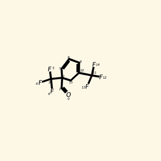 O=CC1(C(F)(F)F)C=CC=C(C(F)(F)F)C1